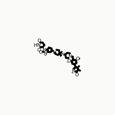 COc1cc(-c2cn(C)c(=O)c(C)c2C)cc(OC)c1CN1CCC(N2CC3(CCN(c4ccc5c(c4)n(C)c(=O)n5C4CCC(=O)NC4=O)CC3)C2)CC1